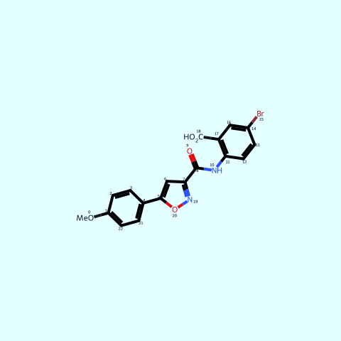 COc1ccc(-c2cc(C(=O)Nc3ccc(Br)cc3C(=O)O)no2)cc1